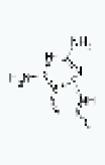 Nc1nc(N)c2ccc(=O)[nH]c2n1